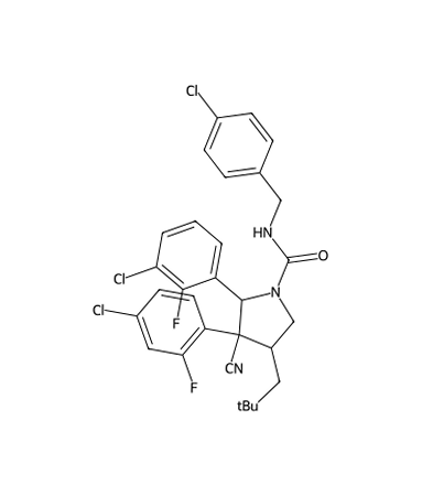 CC(C)(C)CC1CN(C(=O)NCc2ccc(Cl)cc2)C(c2cccc(Cl)c2F)C1(C#N)c1ccc(Cl)cc1F